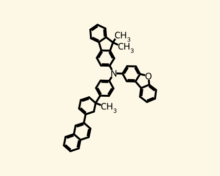 CC1(c2ccc(N(c3ccc4c(c3)C(C)(C)c3ccccc3-4)c3ccc4oc5ccccc5c4c3)cc2)C=CC=C(c2ccc3ccccc3c2)C1